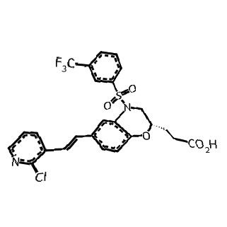 O=C(O)CC[C@H]1CN(S(=O)(=O)c2cccc(C(F)(F)F)c2)c2cc(/C=C/c3cccnc3Cl)ccc2O1